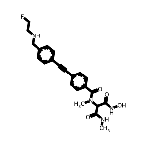 CNC(=O)C(C(=O)NO)N(C)C(=O)c1ccc(C#Cc2ccc(CNCCF)cc2)cc1